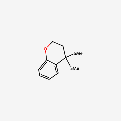 CSC1(SC)CCOc2ccccc21